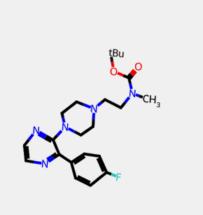 CN(CCN1CCN(c2nccnc2-c2ccc(F)cc2)CC1)C(=O)OC(C)(C)C